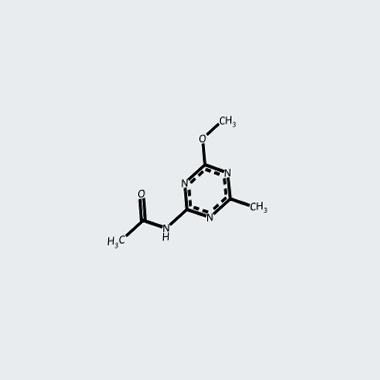 COc1nc(C)nc(NC(C)=O)n1